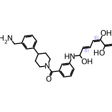 C=C(O)/C(O)=C\C=C\C(O)Nc1cccc(C(=O)N2CCC(c3cccc(CN)c3)CC2)c1